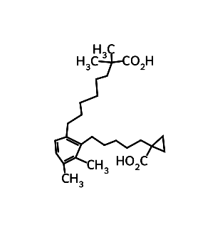 Cc1ccc(CCCCCCC(C)(C)C(=O)O)c(CCCCCC2(C(=O)O)CC2)c1C